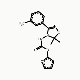 CC1(C)ON=C(c2cccc(C(F)(F)F)c2)N1NC(=O)Oc1ccco1